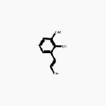 CCCC/C=C/c1cccc(C=O)c1O